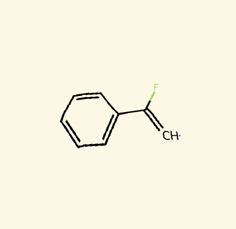 [CH]=C(F)c1ccccc1